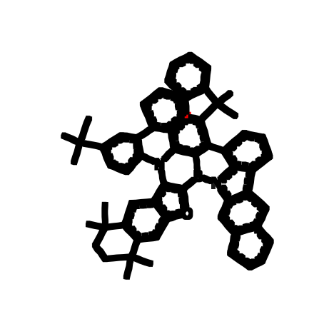 CC(C)(C)c1ccc(N2c3cc4c(c5c3B(c3oc6cc7c(cc6c32)C(C)(C)CCC7(C)C)n2c3cc6ccccc6cc3c3cccc-5c32)C(C)(C)c2ccccc2-4)c(-c2ccccc2)c1